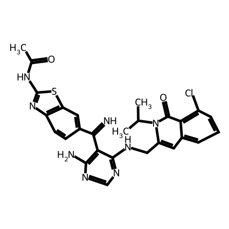 CC(=O)Nc1nc2ccc(C(=N)c3c(N)ncnc3NCc3cc4cccc(Cl)c4c(=O)n3C(C)C)cc2s1